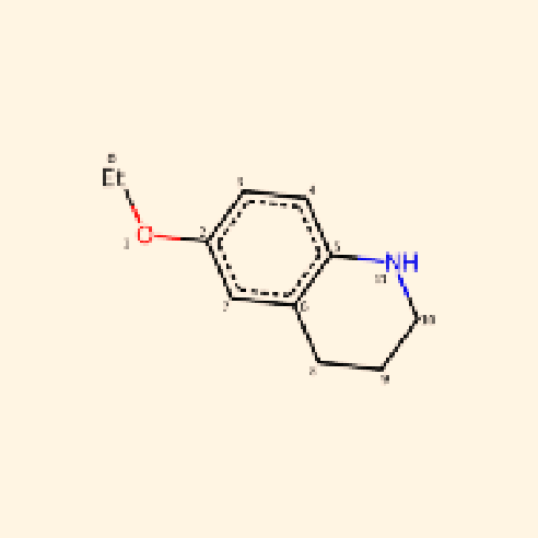 CCOc1ccc2c(c1)CCCN2